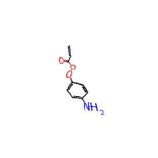 C=CC(=O)OOc1ccc(N)cc1